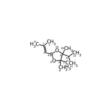 CC(C)=CB1OC(C)(C)C(C)(C(C)C)O1